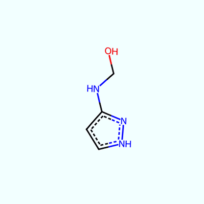 OCNc1cc[nH]n1